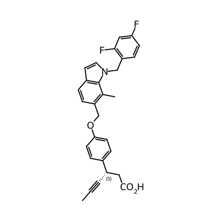 CC#C[C@@H](CC(=O)O)c1ccc(OCc2ccc3ccn(Cc4ccc(F)cc4F)c3c2C)cc1